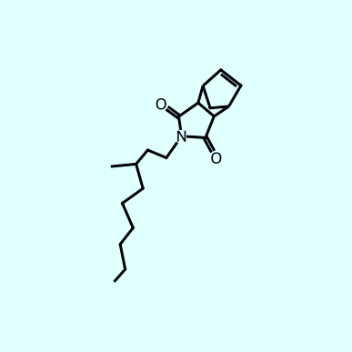 CCCCCCC(C)CCN1C(=O)C2C3C=CC(C3)C2C1=O